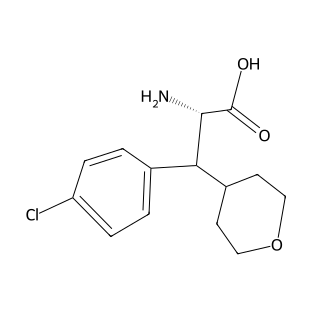 N[C@H](C(=O)O)C(c1ccc(Cl)cc1)C1CCOCC1